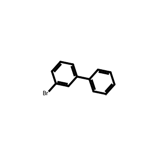 Brc1cccc(-c2c[c]ccc2)c1